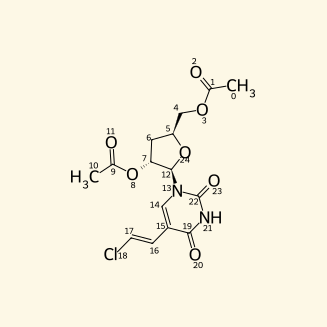 CC(=O)OC[C@@H]1C[C@@H](OC(C)=O)[C@H](n2cc(/C=C/Cl)c(=O)[nH]c2=O)O1